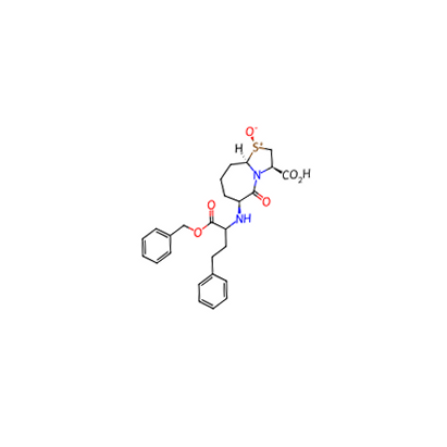 O=C(OCc1ccccc1)C(CCc1ccccc1)N[C@H]1CCC[C@@H]2N(C1=O)[C@H](C(=O)O)C[S@+]2[O-]